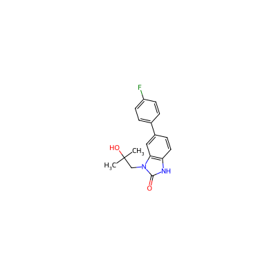 CC(C)(O)Cn1c(=O)[nH]c2ccc(-c3ccc(F)cc3)cc21